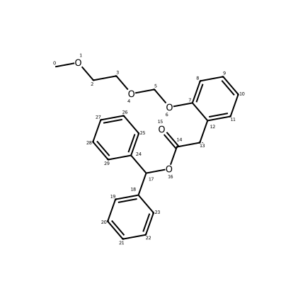 COCCOCOc1ccccc1[CH]C(=O)OC(c1ccccc1)c1ccccc1